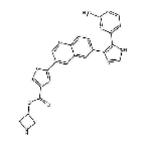 Cc1cccc(-c2[nH]cnc2-c2ccc3ncc(-c4nc(C(=O)OC5CNC5)cs4)cc3c2)n1